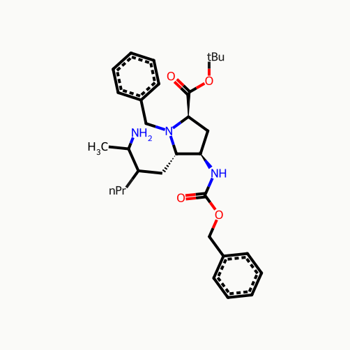 CCCC(C[C@H]1[C@H](NC(=O)OCc2ccccc2)C[C@H](C(=O)OC(C)(C)C)N1Cc1ccccc1)C(C)N